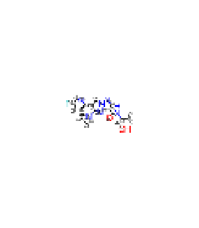 CC(C)[C@H](CO)NC(=O)c1cnn2ccc(N3CCC[C@@H]3c3cncc(F)c3)nc12